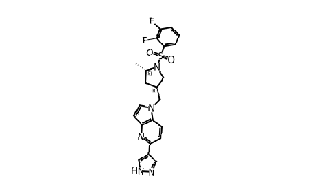 C[C@H]1C[C@H](Cn2ccc3nc(-c4cn[nH]c4)ccc32)CN1S(=O)(=O)c1cccc(F)c1F